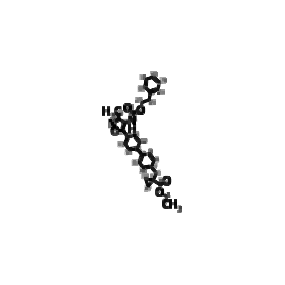 CCOC(=O)C1(Cc2ccc(-c3ccc(-c4onc(C)c4NC(=O)OCCc4ccccc4)cc3)cc2)CC1